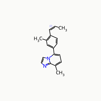 C/C=C\c1ccc(-c2ccc(C)c3nccn23)cc1C